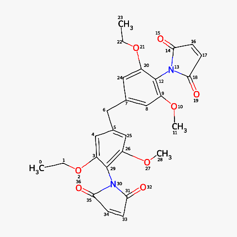 CCOc1cc(Cc2cc(OC)c(N3C(=O)C=CC3=O)c(OCC)c2)cc(OC)c1N1C(=O)C=CC1=O